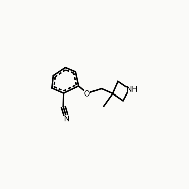 CC1(COc2ccccc2C#N)CNC1